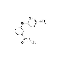 CC(C)(C)OC(=O)N1CCCC(Nc2ccc(N)cn2)C1